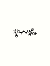 O=[SH](=O)OCCCOS(=O)(=O)O